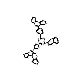 c1ccc2cc(-c3nc(-c4ccc(-c5cc6ccccc6c6ccccc56)cc4)nc(-c4ccc(-c5nc6ccccc6c6c5sc5ccccc56)cc4)n3)ccc2c1